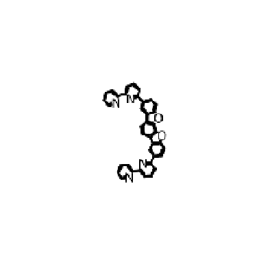 c1ccc(-c2cccc(-c3ccc4oc5c(ccc6c7cc(-c8cccc(-c9ccccn9)n8)ccc7oc65)c4c3)n2)nc1